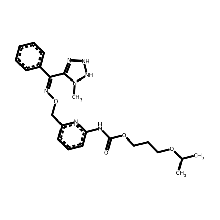 CC(C)OCCCOC(=O)Nc1cccc(CO/N=C(\C2=NNNN2C)c2ccccc2)n1